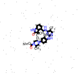 COC(=O)N1CCN(c2ccc(Nc3ncc(C(F)(F)F)c(NCc4cccc5c4C(C)(C)C(=O)N5)n3)c(OC)c2)C[C@H]1C